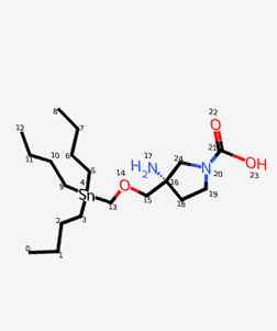 CCC[CH2][Sn]([CH2]CCC)([CH2]CCC)[CH2]OC[C@]1(N)CCN(C(=O)O)C1